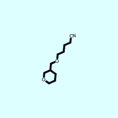 N#CCCCCOCC1CCCOC1